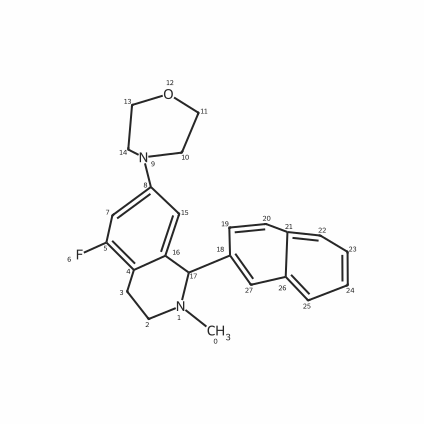 CN1CCc2c(F)cc(N3CCOCC3)cc2C1c1ccc2ccccc2c1